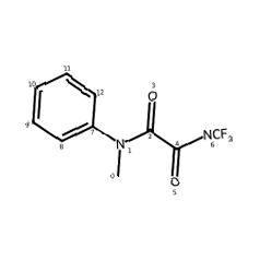 CN(C(=O)C(=O)NC(F)(F)F)c1ccccc1